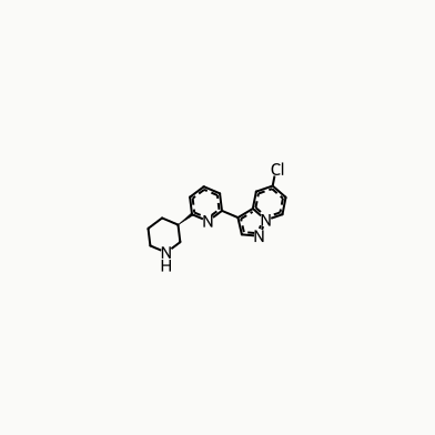 Clc1ccn2ncc(-c3cccc([C@@H]4CCCNC4)n3)c2c1